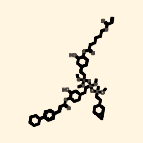 C=CC(=O)OCCCCCC(=O)OC1CCC(CC[Si](OC)(OC)O[Si](CCC2CCC(OC(=O)/C=C/c3ccc(C4CCCCC4)cc3)C(O)C2)(OC)O[Si](C)(CCC2CCC3CC3C2)OC)CC1O